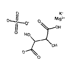 O=C([O-])C(O)C(O)C(=O)O.O=S(=O)([O-])[O-].[K+].[Mg+2]